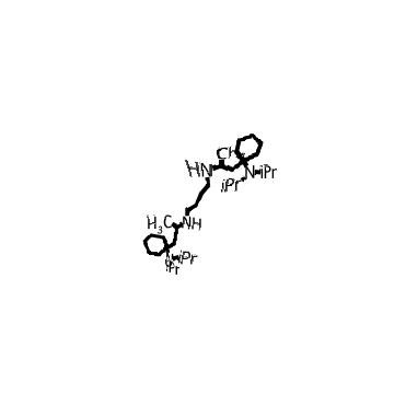 CC(CC1(N(C(C)C)C(C)C)CCCCC1)NCCCCNC(C)CC1(N(C(C)C)C(C)C)CCCCC1